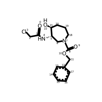 O=C(CCl)N[C@H]1CN(C(=O)OCc2ccccc2)CCC[C@@H]1O